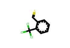 S=[C]c1ccccc1C(Cl)(Cl)Cl